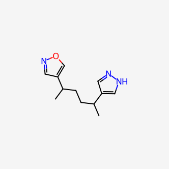 CC(CCC(C)c1cnoc1)c1cn[nH]c1